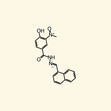 C[N+](=O)c1cc(C(=O)N/N=C/c2cccc3ccccc23)ccc1O